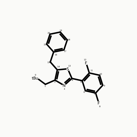 CC(C)(C)Cc1nc(-c2cc(F)ccc2F)sc1Cc1ccccc1